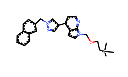 C[Si](C)(C)CCOCn1ccc2c(-c3cnn(Cc4ccc5ccccc5c4)c3)ccnc21